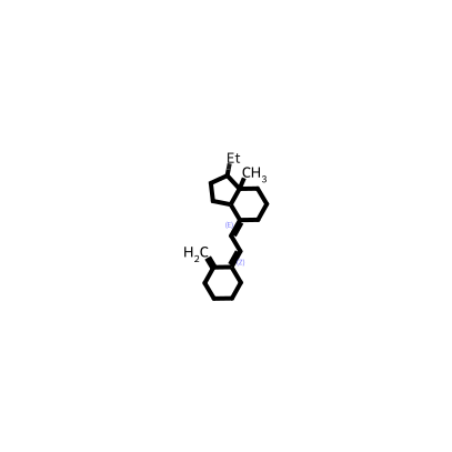 C=C1CCCC/C1=C/C=C1\CCCC2(C)C(CC)CCC12